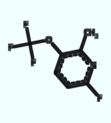 Cc1nc(F)ccc1OC(F)(F)F